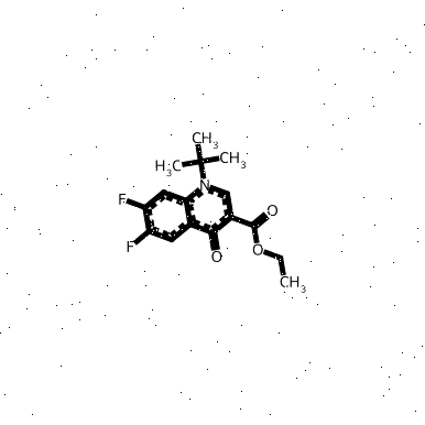 CCOC(=O)c1cn(C(C)(C)C)c2cc(F)c(F)cc2c1=O